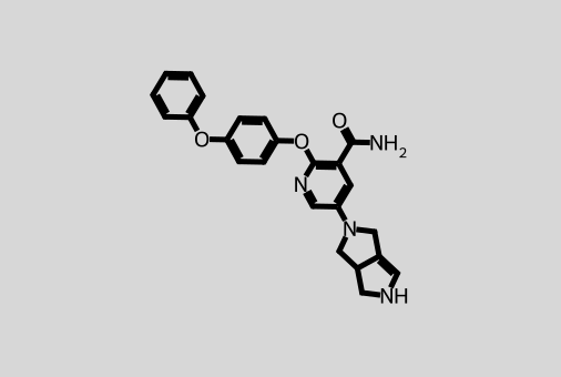 NC(=O)c1cc(N2CC3=CNCC3C2)cnc1Oc1ccc(Oc2ccccc2)cc1